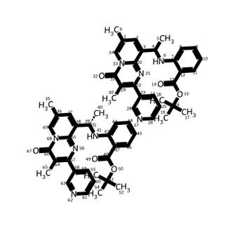 Cc1cc(C(C)Nc2ccccc2C(=O)OC(C)(C)C)c2nc(-c3cccnc3)c(C)c(=O)n2c1.Cc1cc([C@H](C)Nc2ccccc2C(=O)OC(C)(C)C)c2nc(-c3cccnc3)c(C)c(=O)n2c1